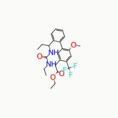 CCNC(=O)NC(CC)c1ccccc1-c1cc(CC(=O)OCC)c(C(F)(F)F)cc1OC